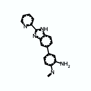 C=Nc1ccc(-c2ccc3[nH]c(-c4ccccn4)nc3c2)cc1N